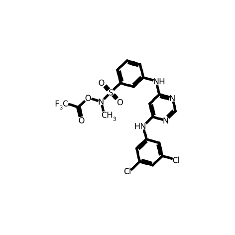 CN(OC(=O)C(F)(F)F)S(=O)(=O)c1cccc(Nc2cc(Nc3cc(Cl)cc(Cl)c3)ncn2)c1